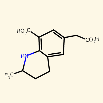 O=C(O)Cc1cc2c(c(C(=O)O)c1)NC(C(F)(F)F)CC2